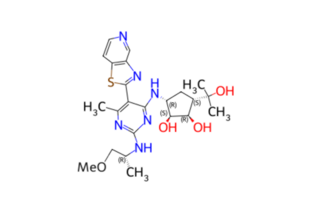 COC[C@@H](C)Nc1nc(C)c(-c2nc3cnccc3s2)c(N[C@@H]2C[C@H](C(C)(C)O)[C@@H](O)[C@H]2O)n1